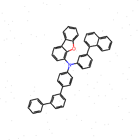 c1ccc(-c2cccc(-c3ccc(N(c4cccc(-c5cccc6ccccc56)c4)c4cccc5c4oc4ccccc45)cc3)c2)cc1